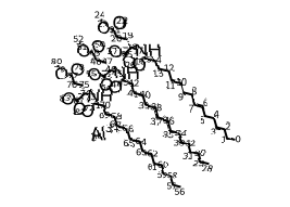 CCCCCCCCCCCCCCCC(=O)N[C@@H](CCC(=O)OC)C(=O)[O-].CCCCCCCCCCCCCCCC(=O)N[C@@H](CCC(=O)OC)C(=O)[O-].CCCCCCCCCCCCCCCC(=O)N[C@@H](CCC(=O)OC)C(=O)[O-].[Al+3]